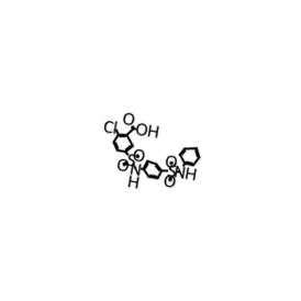 O=C(O)c1cc(S(=O)(=O)Nc2ccc(S(=O)(=O)Nc3ccccc3)cc2)ccc1Cl